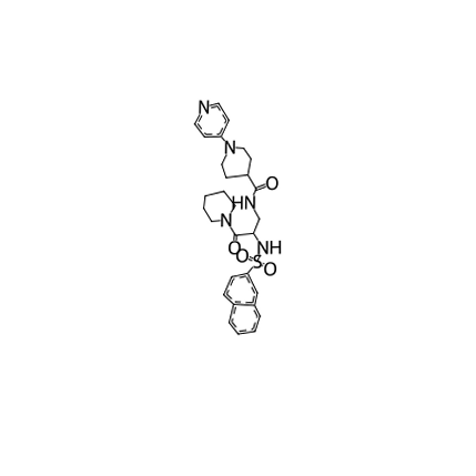 O=C(NCC(NS(=O)(=O)c1ccc2ccccc2c1)C(=O)N1CCCCC1)C1CCN(c2ccncc2)CC1